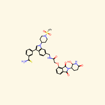 CCCS(=O)(=O)N1CCC(n2cc(-c3cccc(C(N)=S)c3)c3ccc(CNC(=O)COc4cccc5c4C(=O)N(C4CCC(=O)NC4O)C5=O)cc32)CC1